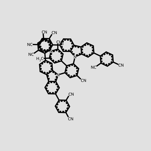 Cc1cc(-c2c(-n3c4cc(-c5ccc(C#N)cc5C#N)ccc4c4ccc(-c5ccc(C#N)cc5C#N)cc43)cc(C#N)cc2-n2c3cc(-c4ccc(C#N)cc4C#N)ccc3c3ccc(-c4ccc(C#N)cc4C#N)cc32)cc(C)n1